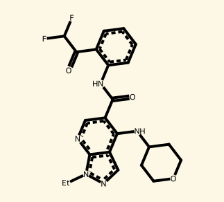 CCn1ncc2c(NC3CCOCC3)c(C(=O)Nc3ccccc3C(=O)C(F)F)cnc21